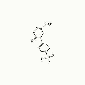 CS(=O)(=O)N1CC=C(n2cc(C(=O)O)ccc2=O)CC1